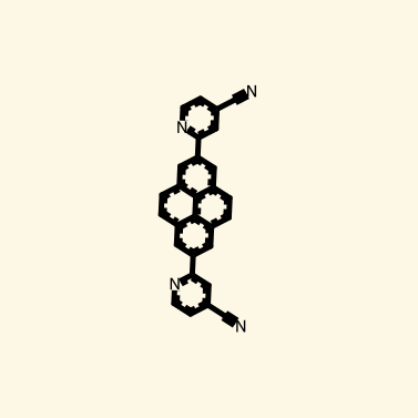 N#Cc1ccnc(-c2cc3ccc4cc(-c5cc(C#N)ccn5)cc5ccc(c2)c3c45)c1